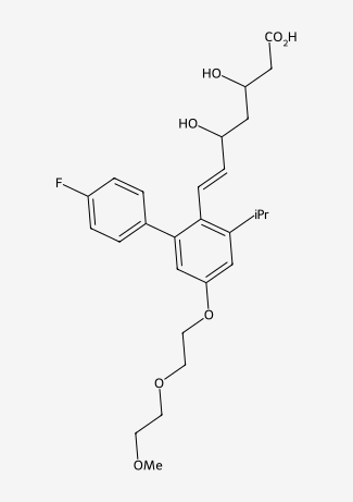 COCCOCCOc1cc(-c2ccc(F)cc2)c(C=CC(O)CC(O)CC(=O)O)c(C(C)C)c1